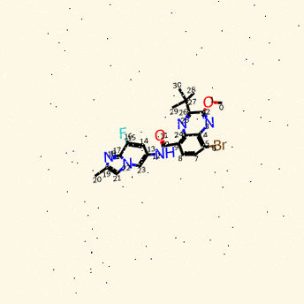 COc1nc2c(Br)ccc(C(=O)Nc3cc(F)c4nc(C)cn4c3)c2nc1C(C)(C)C